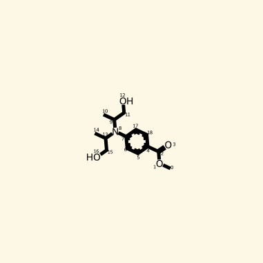 COC(=O)c1ccc(N(C(C)CO)C(C)CO)cc1